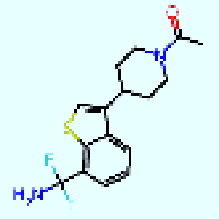 CC(=O)N1CCC(c2csc3c(C(N)(F)F)cccc23)CC1